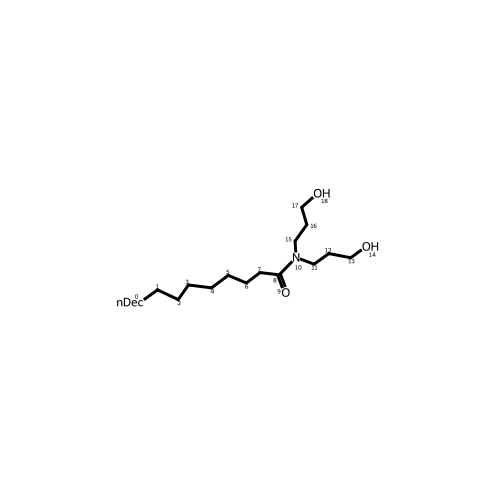 CCCCCCCCCCCCCCCCCC(=O)N(CCCO)CCCO